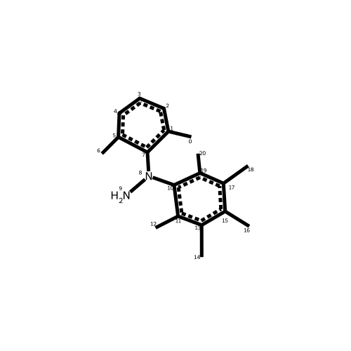 Cc1cccc(C)c1N(N)c1c(C)c(C)c(C)c(C)c1C